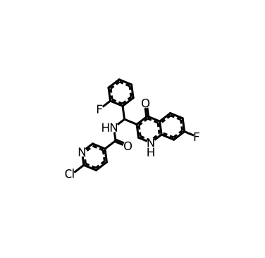 O=C(NC(c1ccccc1F)c1c[nH]c2cc(F)ccc2c1=O)c1ccc(Cl)nc1